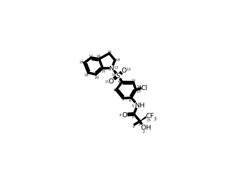 C[C@@](O)(C(=O)Nc1ccc(S(=O)(=O)N2CCc3ccccc32)cc1Cl)C(F)(F)F